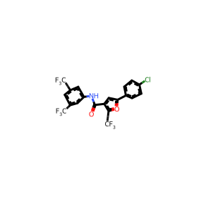 O=C(Nc1cc(C(F)(F)F)cc(C(F)(F)F)c1)c1cc(-c2ccc(Cl)cc2)oc1C(F)(F)F